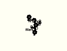 CNC(=O)c1c(-c2ccc(C)cc2)oc2cc(N(C)S(C)(=O)=O)c(-c3cccc(-n4ncc5ccccc54)n3)cc12